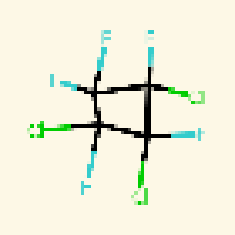 FC1(F)C(F)(Cl)C(F)(Cl)C1(F)Cl